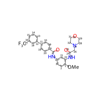 COc1ccc(NC(=O)c2ccc(-c3cccc(C(F)(F)F)c3)cc2)cc1NC(=O)CN1CCOCC1